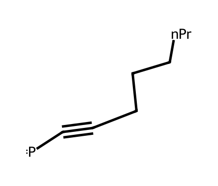 CCCCCCC#C[P]